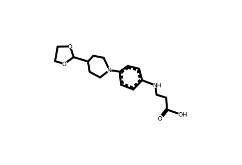 O=C(O)CCNc1ccc(N2CCC(C3OCCO3)CC2)cc1